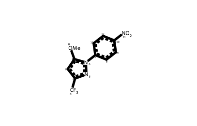 COc1cc(C(F)(F)F)nn1-c1ccc([N+](=O)[O-])cc1